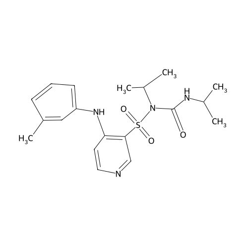 Cc1cccc(Nc2ccncc2S(=O)(=O)N(C(=O)NC(C)C)C(C)C)c1